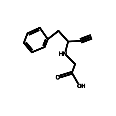 C#CC(Cc1ccccc1)NCC(=O)O